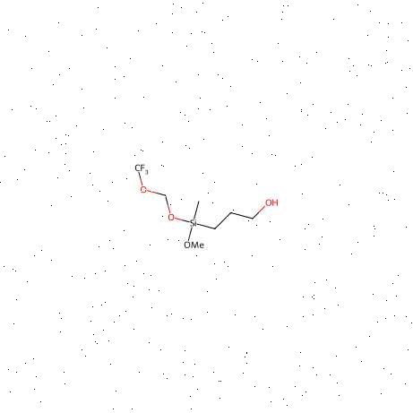 CO[Si](C)(CCCO)OCOC(F)(F)F